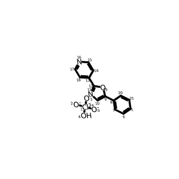 [O-][Cl+3]([O-])([O-])O.c1ccc(-c2cnc(-c3ccncc3)o2)cc1